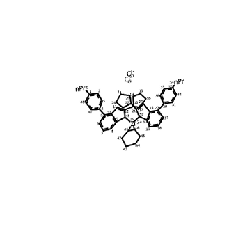 CCCc1ccc(-c2cccc3c2C=C(C2CCCC2)[CH]3[Zr+2]2([CH]3C(C4CCCC4)=Cc4c(-c5ccc(CCC)cc5)cccc43)[CH]3CCCC[CH]32)cc1.[Cl-].[Cl-]